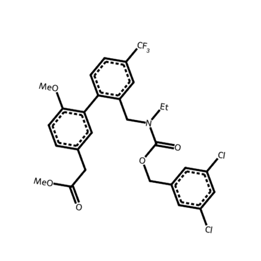 CCN(Cc1cc(C(F)(F)F)ccc1-c1cc(CC(=O)OC)ccc1OC)C(=O)OCc1cc(Cl)cc(Cl)c1